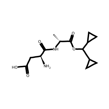 C[C@@H](NC(=O)[C@@H](N)CC(=O)O)C(=O)OC(C1CC1)C1CC1